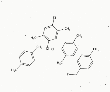 Cc1cc(Cl)c(C)cc1Cl.Cc1ccc(C)c(Cl)c1.Cc1ccc(C)cc1.Cc1ccc(CF)cc1